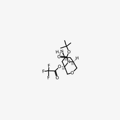 CC(C)(C)OC(=O)N1[C@@H]2COC[C@@]1(OC(=O)C(F)(F)F)C[C@@H](N)C2